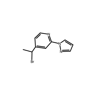 CC(Br)c1ccnc(-n2cccn2)c1